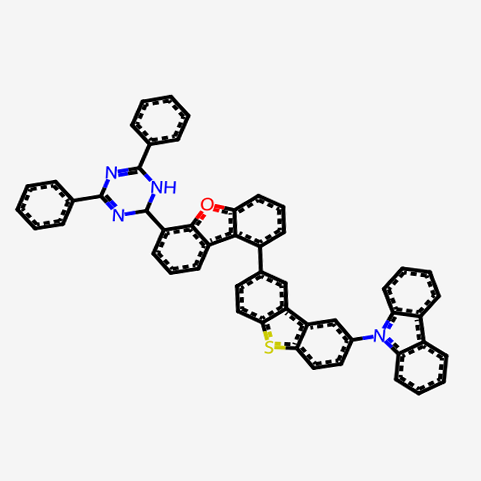 c1ccc(C2=NC(c3cccc4c3oc3cccc(-c5ccc6sc7ccc(-n8c9ccccc9c9ccccc98)cc7c6c5)c34)NC(c3ccccc3)=N2)cc1